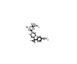 CC(C)(C)OC(=O)N1CCN(C2(c3ncc(N)cn3)CC2)CC1